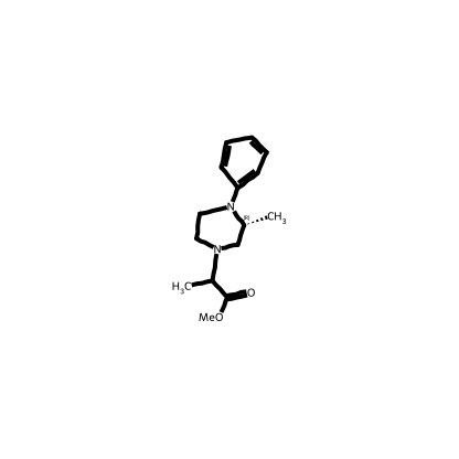 COC(=O)C(C)N1CCN(c2ccccc2)[C@H](C)C1